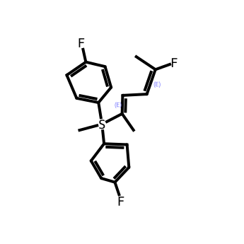 C/C(F)=C\C=C(/C)S(C)(c1ccc(F)cc1)c1ccc(F)cc1